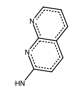 [NH]c1ccc2cccnc2n1